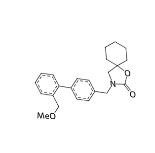 COCc1ccccc1-c1ccc(CN2CC3(CCCCC3)OC2=O)cc1